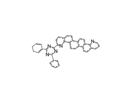 C1=CC(c2nc(-c3ccccc3)nc(-c3ccc4ccc5c6ccc7c(ccc8cccnc87)c6ccc5c4n3)n2)=CCC1